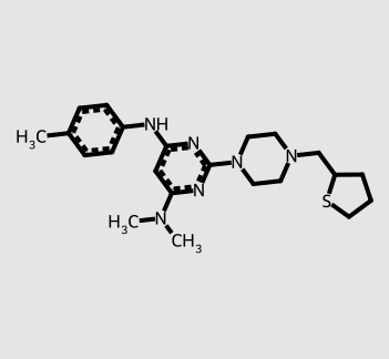 Cc1ccc(Nc2cc(N(C)C)nc(N3CCN(CC4CCCS4)CC3)n2)cc1